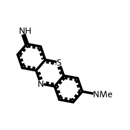 CNc1ccc2nc3ccc(=N)cc-3sc2c1